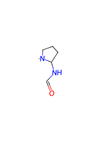 O=CNC1CCC[N]1